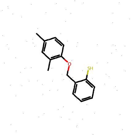 Cc1ccc(OCc2ccccc2S)c(C)c1